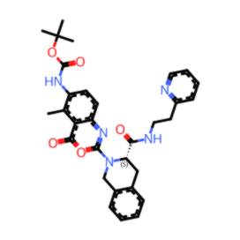 Cc1c(NC(=O)OC(C)(C)C)ccc2nc(N3Cc4ccccc4C[C@H]3C(=O)NCCc3ccccn3)oc(=O)c12